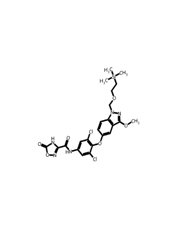 COc1nn(COCC[Si](C)(C)C)c2ccc(Oc3c(Cl)cc(NC(=O)c4noc(=O)[nH]4)cc3Cl)cc12